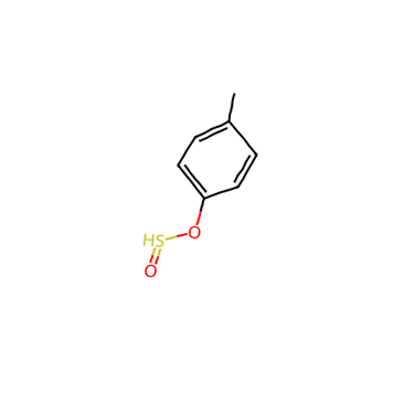 Cc1ccc(O[SH]=O)cc1